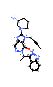 CC#CCn1c(N2CCC[C@@H](N)C2)nc2cnn(C(C)c3n[nH]c4ccccc34)c(=O)c21